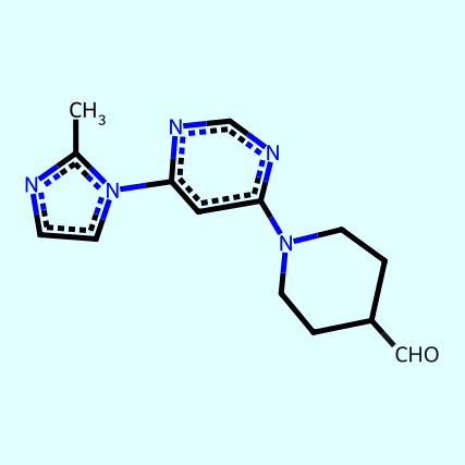 Cc1nccn1-c1cc(N2CCC(C=O)CC2)ncn1